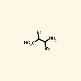 CCC(C(=O)O)C(N)C(C)C